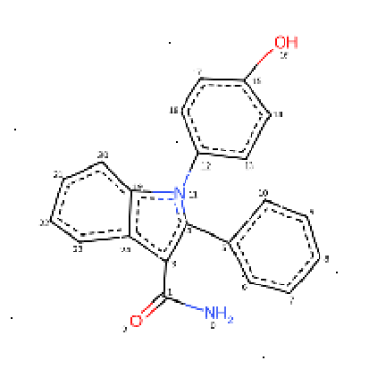 NC(=O)c1c(-c2ccccc2)n(-c2ccc(O)cc2)c2ccccc12